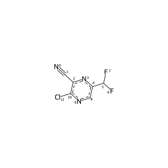 N#Cc1nc(C(F)F)cnc1Cl